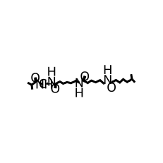 CC(C)CCCCC(=O)NCCCCCC(=O)NCCCCCC(=O)NCCNC(=O)C(C)C